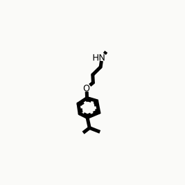 CNCCCOc1ccc(C(C)C)cc1